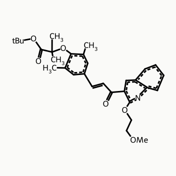 COCCOc1nc2ccccc2cc1C(=O)/C=C/c1cc(C)c(OC(C)(C)C(=O)OC(C)(C)C)c(C)c1